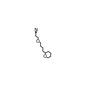 N#CCCOCCCCC1CCCCO1